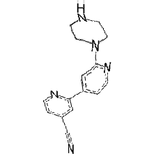 N#Cc1ccnc(-c2ccnc(N3CCNCC3)c2)c1